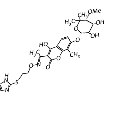 CO[C@@H]1[C@H](O)[C@@H](O)[C@H](Oc2ccc3c(O)c(C(C)=NOCCSc4ncc[nH]4)c(=O)oc3c2C)OC1(C)C